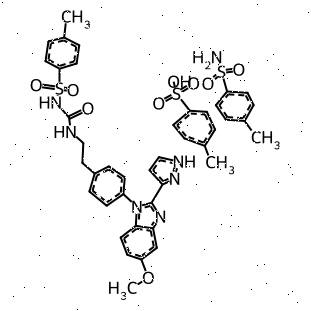 COc1ccc2c(c1)nc(-c1cc[nH]n1)n2-c1ccc(CCNC(=O)NS(=O)(=O)c2ccc(C)cc2)cc1.Cc1ccc(S(=O)(=O)O)cc1.Cc1ccc(S(N)(=O)=O)cc1